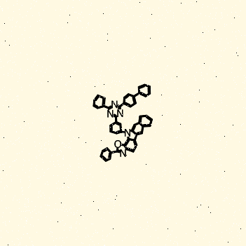 c1ccc(-c2ccc(-c3nc(-c4ccccc4)nc(-c4cccc(-n5c6cc7ccccc7cc6c6ccc7nc(-c8ccccc8)oc7c65)c4)n3)cc2)cc1